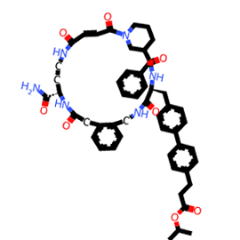 CC(C)OC(=O)CCc1ccc(-c2ccc(C[C@@H]3NC(=O)[C@]4(Cc5ccccc5)CCCN(C4)C(=O)/C=C/C(=O)NCC[C@@H](C(N)=O)NC(=O)Cc4ccccc4CNC3=O)cc2)cc1